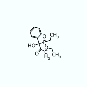 CCOP(=O)(CC)C(O)(C(C)=O)c1ccccc1